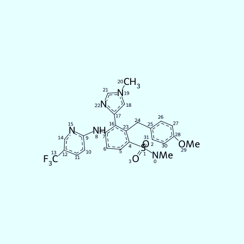 CNS(=O)(=O)c1ccc(Nc2ccc(C(F)(F)F)cn2)c(-c2cn(C)cn2)c1Cc1ccc(OC)cc1